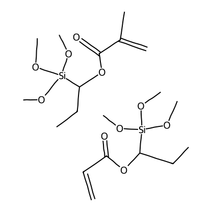 C=C(C)C(=O)OC(CC)[Si](OC)(OC)OC.C=CC(=O)OC(CC)[Si](OC)(OC)OC